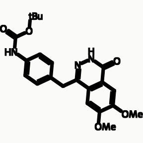 COc1cc2c(Cc3ccc(NC(=O)OC(C)(C)C)cc3)n[nH]c(=O)c2cc1OC